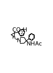 CC(=O)NC1(c2ccccc2)CCN(C[C@@H]2CC2(C(=O)O)c2ccccc2)CC1